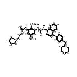 COc1c(NC(=O)Nc2ccc(-c3ccc(CN4CCOCC4)cc3)c3ccccc23)cc(C(C)(C)C)cc1NC(=O)OCCN1CCCC1